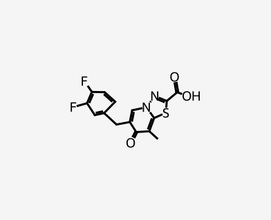 Cc1c(=O)c(Cc2ccc(F)c(F)c2)cn2nc(C(=O)O)sc12